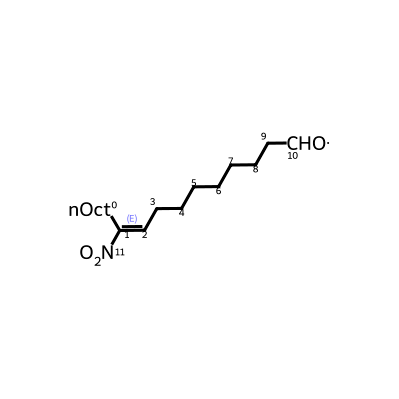 CCCCCCCC/C(=C\CCCCCCC[C]=O)[N+](=O)[O-]